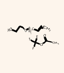 C=CC.CC(=O)OC(F)(F)F.COCCO